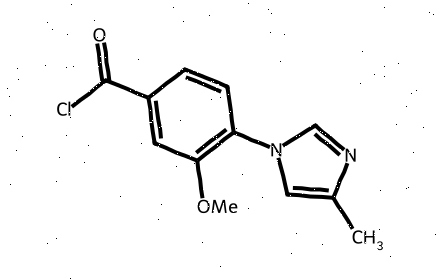 COc1cc(C(=O)Cl)ccc1-n1cnc(C)c1